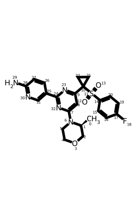 C[C@H]1COCCN1c1cc(C2(S(=O)(=O)c3ccc(F)cc3)CC2)nc(-c2ccc(N)nc2)n1